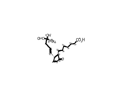 CCCCC(O)(C=O)CC=C[C@H]1C=CC(=O)[C@@H]1CCCCCCC(=O)O